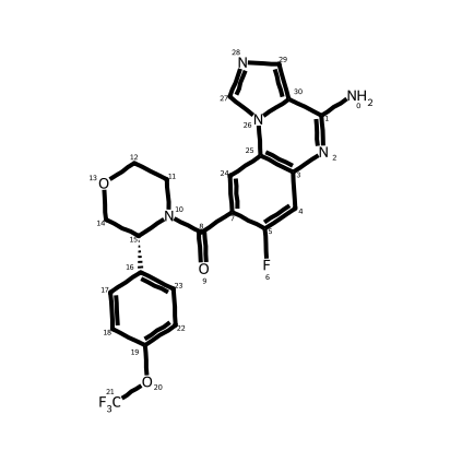 Nc1nc2cc(F)c(C(=O)N3CCOC[C@H]3c3ccc(OC(F)(F)F)cc3)cc2n2cncc12